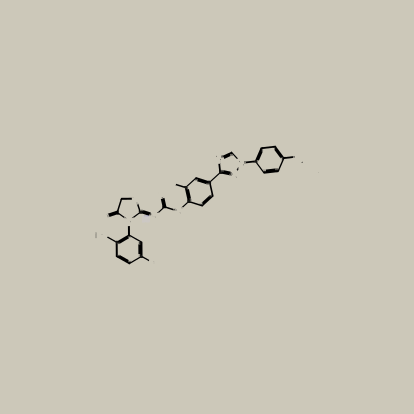 CC(=O)c1ccc(C(C)C)c(N2C(=O)CS/C2=N\C(=O)Nc2ccc(-c3ncn(-c4ccc(OC(F)(F)F)cc4)n3)cc2F)c1